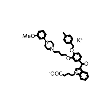 COc1cccc(N2CCN(CCCCOc3cc(C(=O)c4cn(CCCC(=O)[O-])c5ccccc45)ccc3OCc3ccc(C)cc3)CC2)c1.[K+]